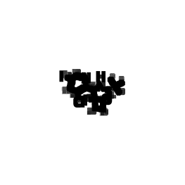 CC(C)(C)[S@@+]([O-])N[C@H](c1ncc(F)cc1Cl)C1(F)CCC1